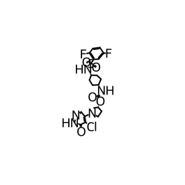 O=C(N[C@H]1CC[C@H](NS(=O)(=O)c2cc(F)ccc2F)CC1)O[C@@H]1CCN(c2cn[nH]c(=O)c2Cl)C1